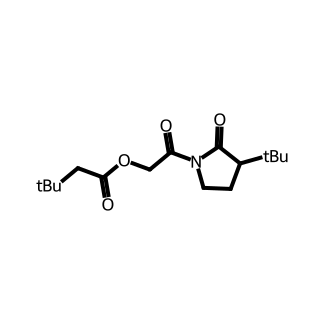 CC(C)(C)CC(=O)OCC(=O)N1CCC(C(C)(C)C)C1=O